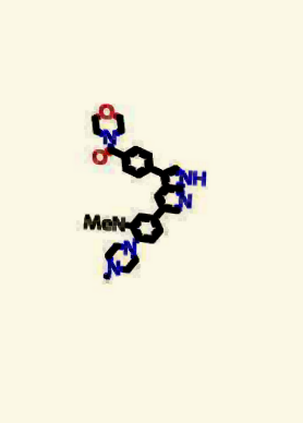 CNc1cc(-c2cnc3[nH]cc(-c4ccc(C(=O)N5CCOCC5)cc4)c3c2)ccc1N1CCN(C)CC1